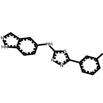 Brc1cccc(-c2nnc(Nc3ccc4[nH]ncc4c3)s2)c1